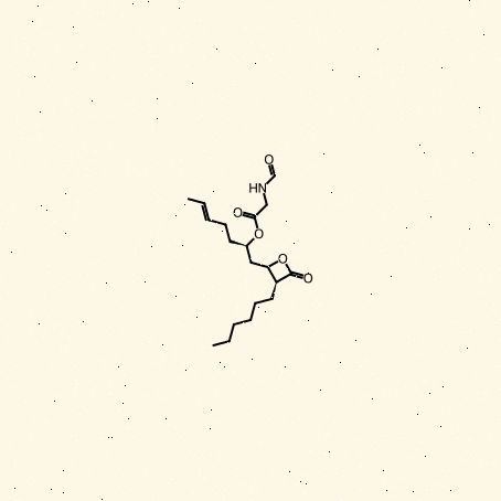 CC=CCC[C@H](CC1OC(=O)[C@H]1CCCCCC)OC(=O)CNC=O